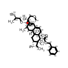 CC(C)[C@@H](C)[C@@]1(C)CC[C@]2(C)[C@H]3CC[C@@H]4[C@@]5(COC[C@]4(C)[C@@H](OC[C@@H](C)C(C)(C)C)[C@H](C)C5)C3=CC[C@@]2(C)[C@@H]1C(=O)OCc1ccccc1